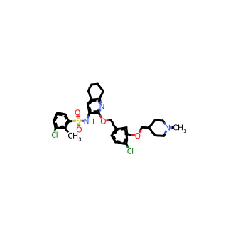 Cc1c(Cl)cccc1S(=O)(=O)Nc1cc2c(nc1OCc1ccc(Cl)c(OCC3CCN(C)CC3)c1)CCCC2